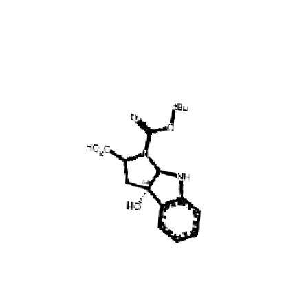 CC(C)(C)OC(=O)N1C(C(=O)O)C[C@]2(O)c3ccccc3NC12